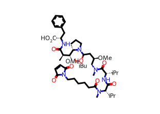 CC[C@H](C)[C@@H]([C@@H](CC(O)N1CCC[C@H]1[C@H](OC)[C@@H](C)C(=O)N[C@@H](Cc1ccccc1)C(=O)O)OC)N(C)C(=O)[C@@H](NC(=O)[C@H](C(C)C)N(C)C(=O)CCCCCN1C(=O)C=CC1=O)C(C)C